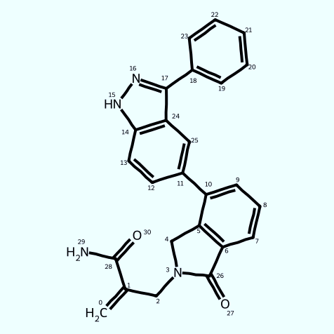 C=C(CN1Cc2c(cccc2-c2ccc3[nH]nc(-c4ccccc4)c3c2)C1=O)C(N)=O